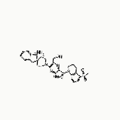 CS(=O)(=O)c1cccc2c1CCCN2c1n[nH]c2nc(N3CCC4(CC3)Cc3ccccc3[C@H]4N)c(CO)nc12